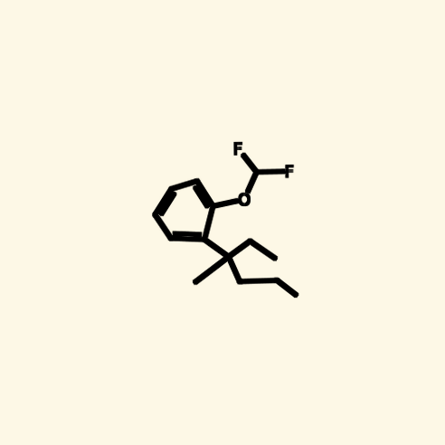 CCCC(C)(CC)c1ccccc1OC(F)F